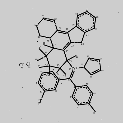 Cc1ccc([C](c2cccc(Cl)c2)=[Zr+2]([CH]2C=CC=C2)[C]2(C)C3=C4Cc5ccccc5C4=C4C=CCCC4C3(C)C(C)(C)C(C)(C)C2(C)C)cc1.[Cl-].[Cl-]